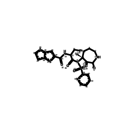 [2H]C1NCCC[C@]([2H])(N(C(=O)C(CC(C)C)NC(=O)c2cc3sccc3s2)S(=O)(=O)c2ccccn2)C1=O